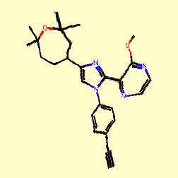 C#Cc1ccc(-n2cc(C3CCC(C)(C)OC(C)(C)C3)nc2-c2nccnc2OC)cc1